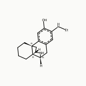 CCNc1cc2c(cc1O)[C@@]13CCCC[C@H]1[C@@H](C2)NCC3